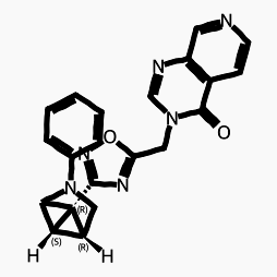 O=c1c2ccncc2ncn1Cc1nc([C@@]23C4[C@H]2[C@H]3CN4c2ccccc2)no1